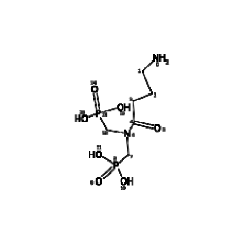 NCCCC(=O)N(CP(=O)(O)O)CP(=O)(O)O